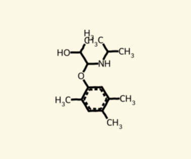 Cc1cc(C)c(OC(NC(C)C)C(C)O)cc1C